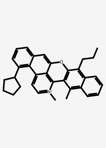 CCCc1c2c(c(C)c3ccccc13)-c1c3c(cc4cccc(C5CCCC5)c4c3cc[n+]1C)O2